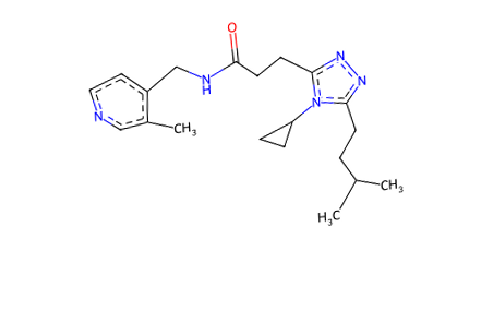 Cc1cnccc1CNC(=O)CCc1nnc(CCC(C)C)n1C1CC1